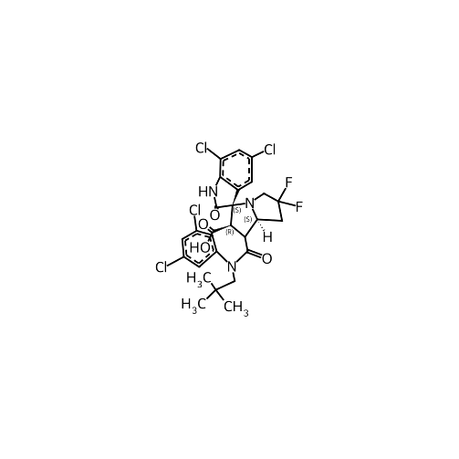 CC(C)(C)CN(C(=O)C1[C@@H](C(=O)O)[C@]2(C(=O)Nc3c(Cl)cc(Cl)cc32)N2CC(F)(F)C[C@@H]12)c1cc(Cl)cc(Cl)c1